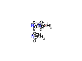 Cc1cc2c(c(-c3nccc4ccccc34)c1C)Cc1ccccc1-2.Cc1cc2c(c(-c3nccc4ccccc34)c1C)Cc1ccccc1-2.Cc1cc2c(c(-c3nccc4ccccc34)c1C)Cc1ccccc1-2.[Ir+3]